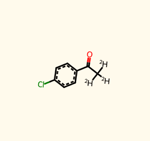 [2H]C([2H])([2H])C(=O)c1ccc(Cl)cc1